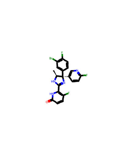 C[C@@H]1NC(c2[nH]c(=O)ccc2F)=N[C@]1(c1ccc(F)nc1)c1ccc(F)c(Br)c1